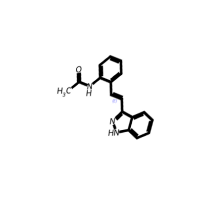 CC(=O)Nc1ccccc1/C=C/c1n[nH]c2ccccc12